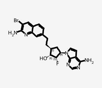 Nc1nc2cc(CC[C@H]3C[C@@H](n4ccc5c(N)ncnc54)[C@H](F)[C@@H]3O)ccc2cc1Br